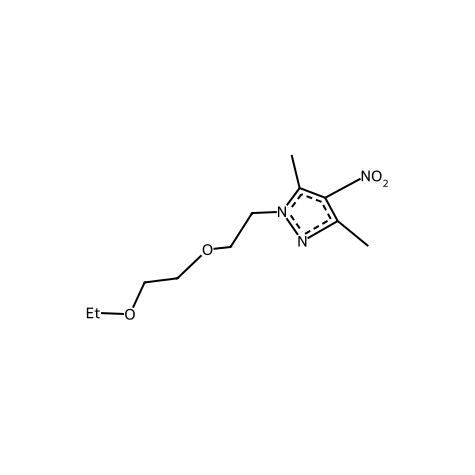 CCOCCOCCn1nc(C)c([N+](=O)[O-])c1C